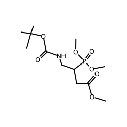 COC(=O)CC(CNC(=O)OC(C)(C)C)P(=O)(OC)OC